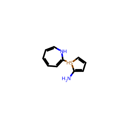 NC1=CC=C[SH]1C1=CC=CC=CN1